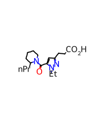 CCCC1CCCCN1C(=O)c1cc(CCC(=O)O)nn1CC